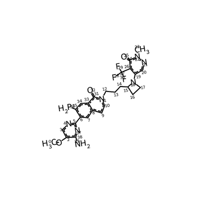 COc1cnc(-c2cc3ccn(CCCC4CCN4c4cnn(C)c(=O)c4C(F)(F)F)c(=O)c3cc2P)nc1N